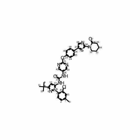 Cc1ccc(-n2nc(C(C)(C)C)cc2NC(=O)Nc2cnc(Oc3ccc(-c4cnc(N5CCCCC5=O)s4)cc3)nc2)c(Cl)c1